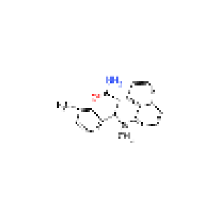 C[C@@H](c1cccc2ccccc12)C(CC(N)=O)c1cccc(C(F)(F)F)c1